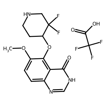 COc1ccc2nc[nH]c(=O)c2c1OC1CCNCC1(F)F.O=C(O)C(F)(F)F